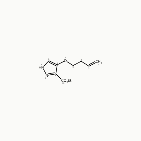 C=CCCOc1c[nH]nc1C(=O)OCC